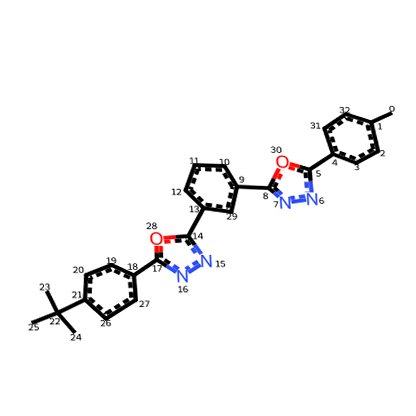 Cc1ccc(-c2nnc(-c3cccc(-c4nnc(-c5ccc(C(C)(C)C)cc5)o4)c3)o2)cc1